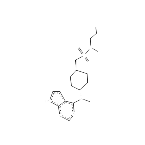 CN(CCO)S(=O)(=O)C[C@H]1CC[C@H](N(C)c2ncnc3[nH]ccc23)CC1